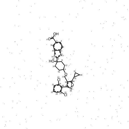 O=C(O)c1ccc2nc(C3(O)CCC(OCc4c(-c5c(Cl)cccc5Cl)noc4C4CC4)CC3)sc2c1